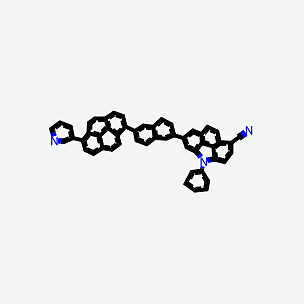 N#Cc1ccc2c3c1ccc1cc(-c4ccc5cc(-c6ccc7ccc8c(-c9cccnc9)ccc9ccc6c7c98)ccc5c4)cc(c13)n2-c1ccccc1